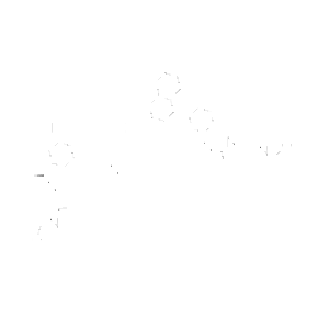 CCC(=O)N1CC(N2Cc3ccc(-c4cc(O)cc5ccccc45)cc3N(CCCCCCCN3CCC(c4cc(F)cc5c4CN(C4CCC(=O)NC4=O)C5=O)CC3)C2=O)C1